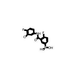 O=C(Nc1ccc(F)c(Cl)c1)c1cc(B(O)O)ccc1F